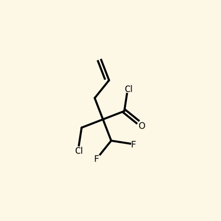 C=CCC(CCl)(C(=O)Cl)C(F)F